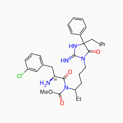 CCC(CCCN1C(=N)NC(CC(C)C)(c2ccccc2)C1=O)N(C(=O)OC)C(=O)[C@@H](N)Cc1cccc(Cl)c1